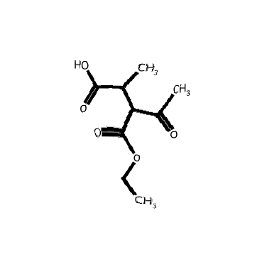 CCOC(=O)C(C(C)=O)C(C)C(=O)O